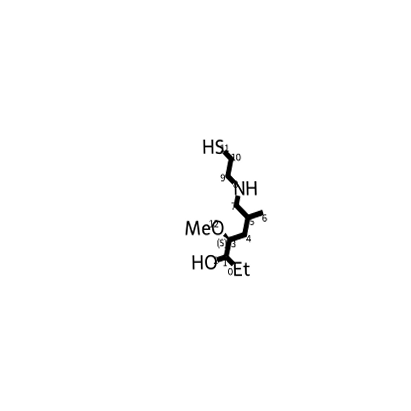 CCC(O)[C@H](CC(C)CNCCS)OC